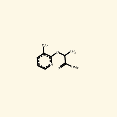 COC(=O)C(C)Oc1ncccc1OC(C)=O